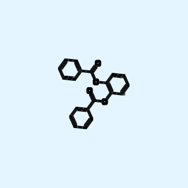 O=C(Oc1[c]cccc1OC(=O)c1ccccc1)c1ccccc1